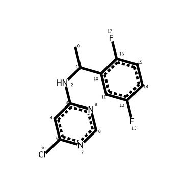 CC(Nc1cc(Cl)ncn1)c1cc(F)ccc1F